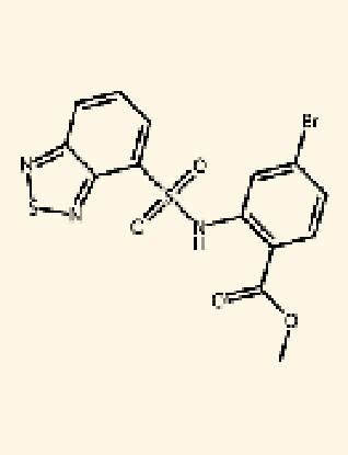 COC(=O)c1ccc(Br)cc1NS(=O)(=O)c1cccc2nsnc12